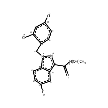 CN(O)C(=O)c1nn(Cc2ccc(Cl)cc2Cl)c2ccc(F)cc12